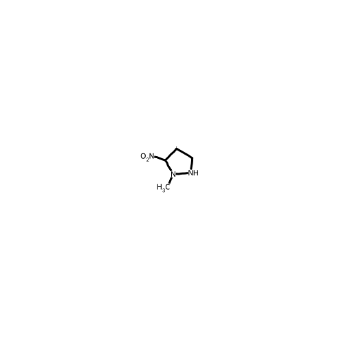 CN1NC[CH]C1[N+](=O)[O-]